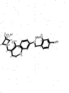 CCCc1ccc(COc2ccc3c(c2)OCCC(CN2CC(C(=O)O)C2)=C3Cl)c(OC)c1